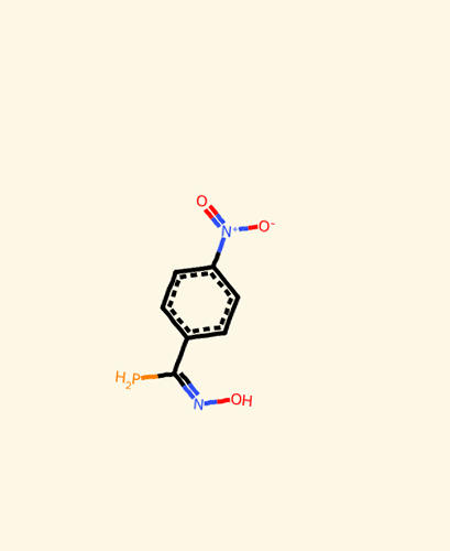 O=[N+]([O-])c1ccc(/C(P)=N\O)cc1